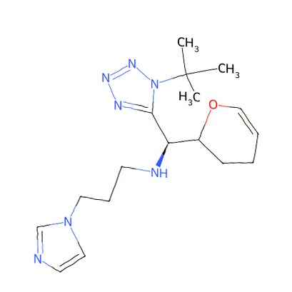 CC(C)(C)n1nnnc1[C@H](NCCCn1ccnc1)C1CCC=CO1